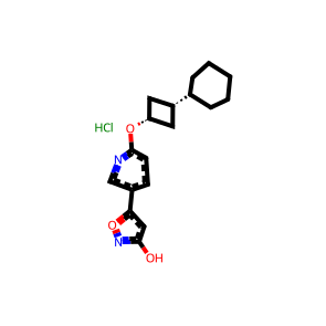 Cl.Oc1cc(-c2ccc(O[C@H]3C[C@@H](C4CCCCC4)C3)nc2)on1